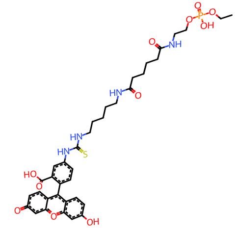 CCOP(=O)(O)OCCNC(=O)CCCCC(=O)NCCCCCNC(=S)Nc1ccc(-c2c3ccc(=O)cc-3oc3cc(O)ccc23)c(C(=O)O)c1